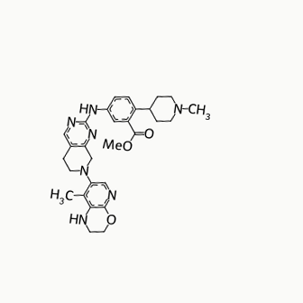 COC(=O)c1cc(Nc2ncc3c(n2)CN(c2cnc4c(c2C)NCCO4)CC3)ccc1C1CCN(C)CC1